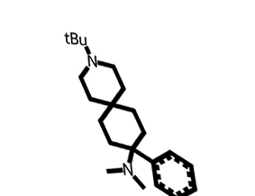 CN(C)C1(c2ccccc2)CCC2(CCN(C(C)(C)C)CC2)CC1